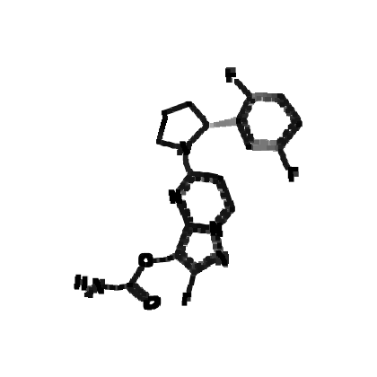 NC(=O)Oc1c(F)nn2ccc(N3CCC[C@@H]3c3cc(F)ccc3F)nc12